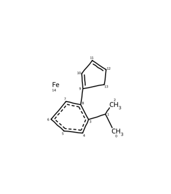 CC(C)c1ccccc1C1=CC=CC1.[Fe]